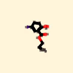 C=CCOC(=O)c1cc(I)ccc1O